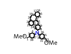 COCc1ccc(N(c2ccc(C=C3c4ccccc4C=Cc4ccccc43)cc2)c2ccc(COC)cc2)cc1